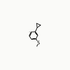 CSc1cc[c]c(C2CC2)c1